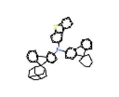 c1ccc2c(c1)-c1cc(N(c3ccc4c(c3)-c3ccccc3C43C4CC5CC(C4)CC3C5)c3ccc4sc5ccccc5c4c3)ccc1C21CCCCC1